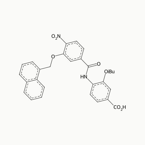 CC(C)COc1cc(C(=O)O)ccc1NC(=O)c1ccc([N+](=O)[O-])c(OCc2cccc3ccccc23)c1